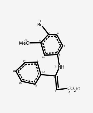 CCOC(=O)/C=C(\Nc1ccc(Br)c(OC)c1)c1ccccc1